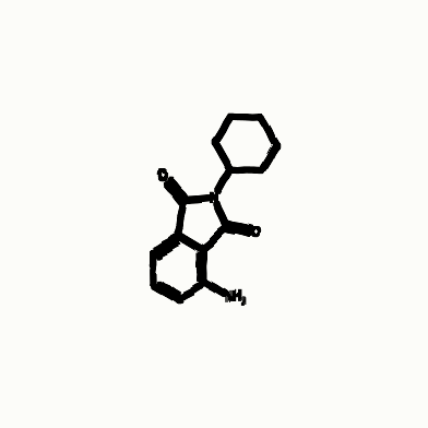 Nc1cccc2c1C(=O)N(C1CCCCC1)C2=O